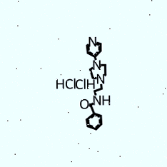 Cl.Cl.O=C(NCCN1CCN(c2ccncc2)CC1)c1ccccc1